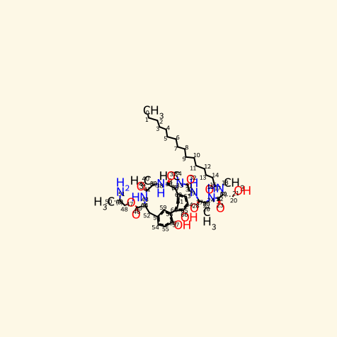 CCCCCCCCCCCCCCCC(=O)N(C)[C@H](CO)C(=O)N[C@H](C)C(=O)NCC(=O)N(C)[C@@H]1C(=O)N[C@@H](C)C(=O)N[C@H](C(=O)OC[C@H](C)N)Cc2ccc(O)c(c2)-c2cc1ccc2O